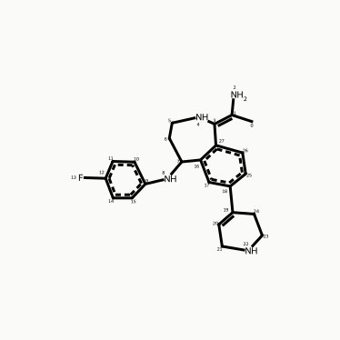 C/C(N)=C1/NCCC(Nc2ccc(F)cc2)c2cc(C3=CCNCC3)ccc21